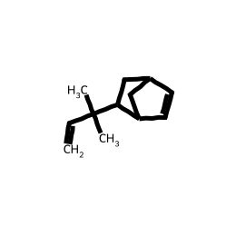 C=CC(C)(C)C1CC2C=CC1C2